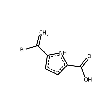 C=C(Br)c1ccc(C(=O)O)[nH]1